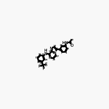 CC(=O)Nc1cccc(-c2cnc3c(Nc4cccc(C(F)(F)F)c4)nccn23)c1